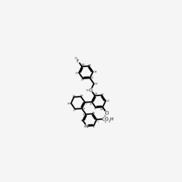 O=C(O)c1cncc(C2=C(c3cc(Cl)ccc3OCc3ccc(F)cc3)CCCC2)c1